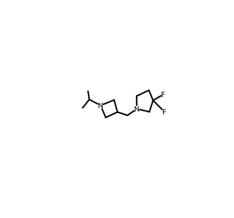 CC(C)N1CC(CN2CCC(F)(F)C2)C1